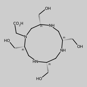 O=C(O)CN1C[C@H](CO)NC[C@H](CO)NC[C@H](CO)NC[C@@H]1CO